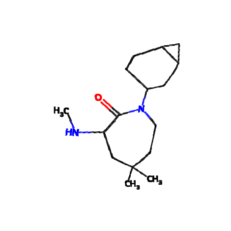 CNC1CC(C)(C)CCN(C2CCC3CC3C2)C1=O